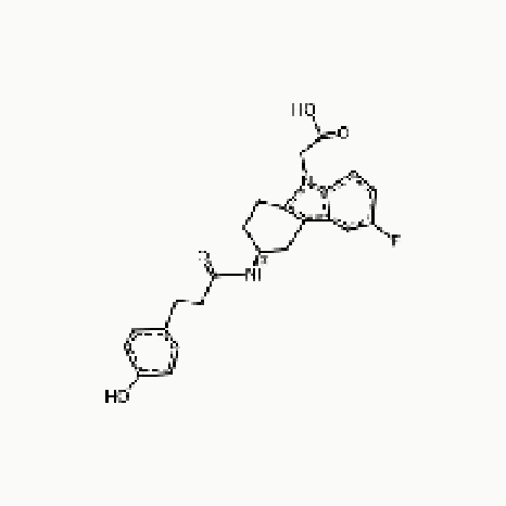 O=C(O)Cn1c2c(c3cc(F)ccc31)C[C@@H](NC(=O)CCc1ccc(O)cc1)CC2